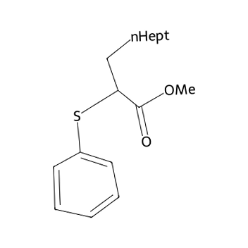 CCCCCCCCC(Sc1ccccc1)C(=O)OC